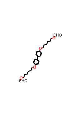 O=COCCCCCCOc1ccc(-c2ccc(OCCCCCCOC=O)cc2)cc1